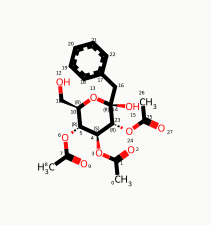 CC(=O)O[C@H]1[C@H](OC(C)=O)[C@@H](CO)O[C@](O)(Cc2ccccc2)[C@@H]1OC(C)=O